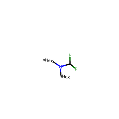 CCCCCCN(CCCCCC)C(F)F